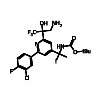 CC(C)(C)OC(=O)NC(C)(I)c1cc(-c2ccc(F)c(Cl)c2)nc(C(O)(CN)C(F)(F)F)c1